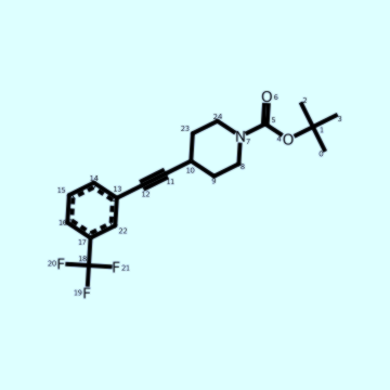 CC(C)(C)OC(=O)N1CCC(C#Cc2cccc(C(F)(F)F)c2)CC1